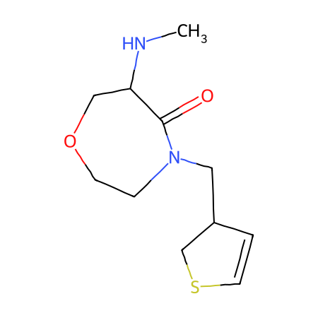 CNC1COCCN(CC2C=CSC2)C1=O